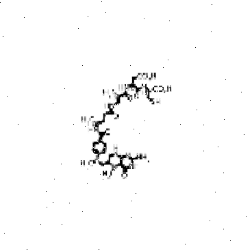 C[C@H](CCC(=O)NC[C@H](N)C(=O)N[C@@H](CC(=O)O)C(=O)N[C@@H](CS)C(=O)O)NC(=O)c1ccc(N(C)CC2CNc3nc(N)[nH]c(=O)c3N2C)cc1